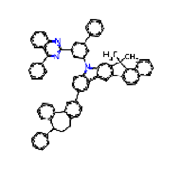 CC1(C)c2cc3c(cc2-c2ccc4ccccc4c21)c1cc(-c2ccc4c(c2)-c2ccccc2C(c2ccccc2)CC4)ccc1n3-c1cc(-c2ccccc2)cc(-c2nc(-c3ccccc3)c3ccccc3n2)c1